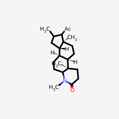 CC(=O)C1C(C)C[C@H]2[C@@H]3CCC4N(C)C(=O)CC[C@]4(C)[C@@H]3CC[C@]12C